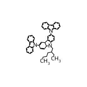 CCCCC(CC)CN1c2ccc(-n3c4ccccc4c4ccccc43)cc2C2C=C(n3c4ccccc4c4ccccc43)C=CC21